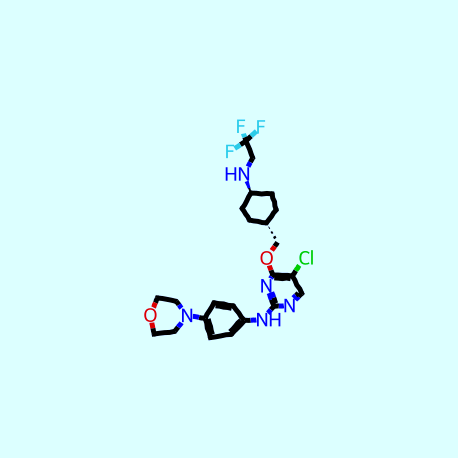 FC(F)(F)CN[C@H]1CC[C@H](COc2nc(Nc3ccc(N4CCOCC4)cc3)ncc2Cl)CC1